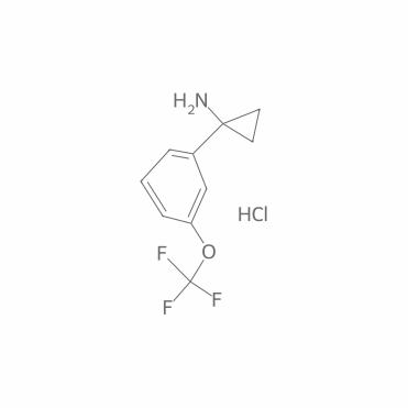 Cl.NC1(c2cccc(OC(F)(F)F)c2)CC1